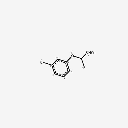 CC([C]=O)Oc1cccc(Cl)c1